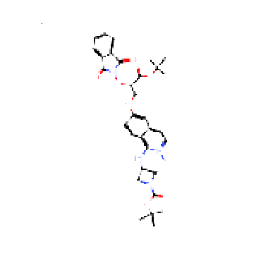 C[n+]1ccc2cc(OCC(ON3C(=O)c4ccccc4C3=O)C(=O)OC(C)(C)C)ccc2c1NC1CN(C(=O)OC(C)(C)C)C1